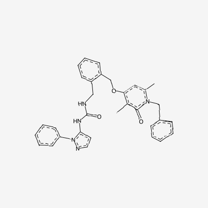 Cc1c(OCc2ccccc2CNC(=O)Nc2ccnn2-c2ccccc2)cc(C)n(Cc2ccccc2)c1=O